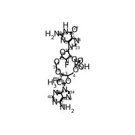 C[C@@H](OC1COP(=O)(O)OC2C(F)C(OCO[C@@H]1CF)OC2n1cnc2c(=O)[nH]c(N)nc21)n1cnc2c(N)ncnc21